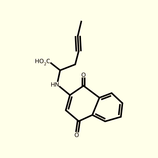 CC#CCC(NC1=CC(=O)c2ccccc2C1=O)C(=O)O